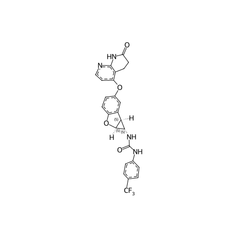 O=C1CCc2c(Oc3ccc4c(c3)[C@H]3[C@H](NC(=O)Nc5ccc(C(F)(F)F)cc5)[C@H]3O4)ccnc2N1